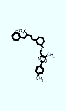 Cc1ccc(-c2nc(COC3CCCC(CCC(Cc4ccccc4)C(=O)O)C3)c(C)o2)cc1